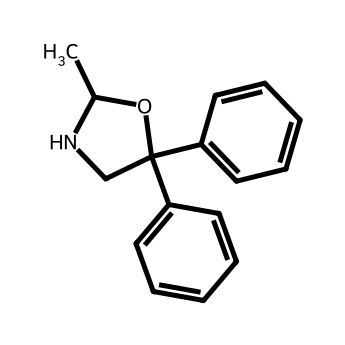 CC1NCC(c2ccccc2)(c2ccccc2)O1